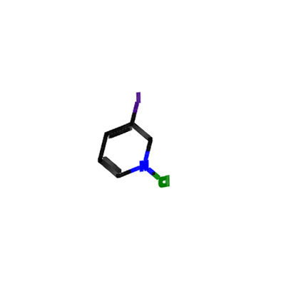 ClN1C=CC=C(I)C1